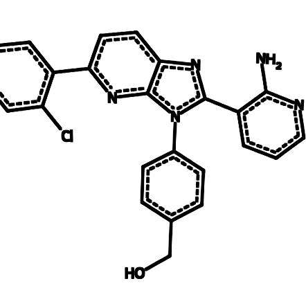 Nc1ncccc1-c1nc2ccc(-c3ccccc3Cl)nc2n1-c1ccc(CO)cc1